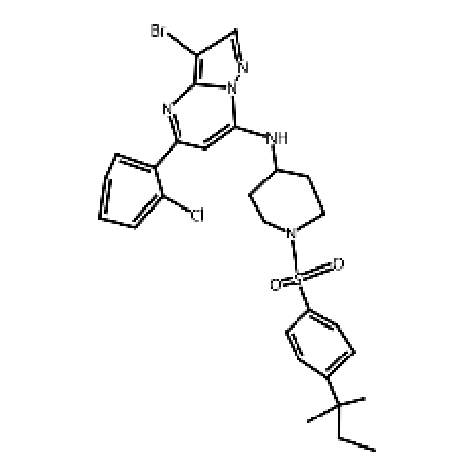 CCC(C)(C)c1ccc(S(=O)(=O)N2CCC(Nc3cc(-c4ccccc4Cl)nc4c(Br)cnn34)CC2)cc1